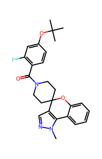 Cn1ncc2c1-c1ccccc1OC21CCN(C(=O)c2ccc(OC(C)(C)C)cc2F)CC1